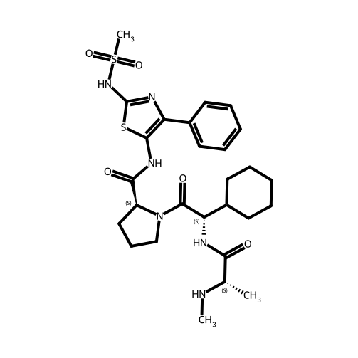 CN[C@@H](C)C(=O)N[C@H](C(=O)N1CCC[C@H]1C(=O)Nc1sc(NS(C)(=O)=O)nc1-c1ccccc1)C1CCCCC1